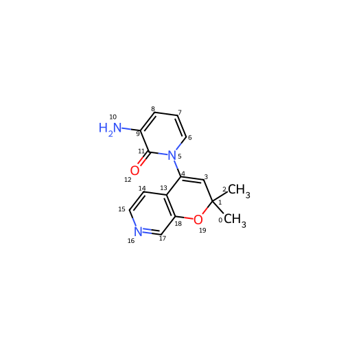 CC1(C)C=C(n2cccc(N)c2=O)c2ccncc2O1